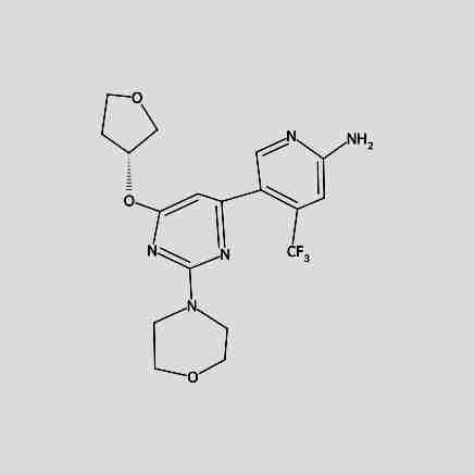 Nc1cc(C(F)(F)F)c(-c2cc(O[C@@H]3CCOC3)nc(N3CCOCC3)n2)cn1